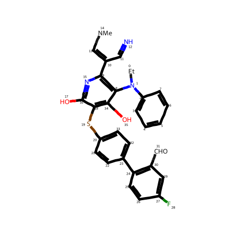 CCN(c1ccccc1)c1c(/C(C=N)=C/NC)nc(O)c(Sc2ccc(-c3ccc(F)cc3C=O)cc2)c1O